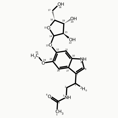 [2H]C(CNC(C)=O)c1c[nH]c2cc(OC3O[C@H](CO)[C@H](O)[C@H]3O)c(OC)cc12